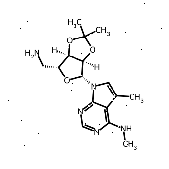 CNc1ncnc2c1c(C)cn2[C@@H]1O[C@H](CN)[C@H]2OC(C)(C)O[C@H]21